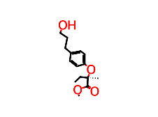 CC[C@@](C)(Oc1ccc(CCCO)cc1)C(=O)OC